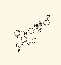 O=C(NS(=O)(=O)c1cccc(Cl)c1)c1ccc(N(Cc2cccnc2)c2ccc(OC(F)F)c(OC3CCCC3)c2)cc1